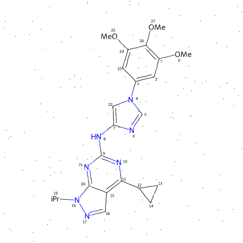 COc1cc(-n2cnc(Nc3nc(C4CC4)c4cnn(C(C)C)c4n3)c2)cc(OC)c1OC